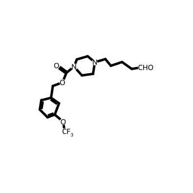 O=CCCCCN1CCN(C(=O)OCc2cccc(OC(F)(F)F)c2)CC1